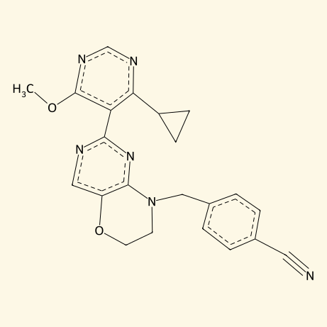 COc1ncnc(C2CC2)c1-c1ncc2c(n1)N(Cc1ccc(C#N)cc1)CCO2